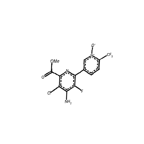 COC(=O)c1nc(-c2ccc(C(F)(F)F)[n+]([O-])c2)c(F)c(N)c1Cl